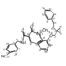 Cn1c(=O)c(C(=O)NCc2ccc(C#N)cc2)cc2cnnc(OCC3(SCc4ccccc4)CC3)c21